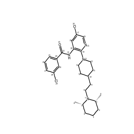 C[C@@H]1CCC[C@H](C)N1CCC1CCN(c2ncc(Cl)cc2NC(=O)c2cccc(Cl)c2)CC1